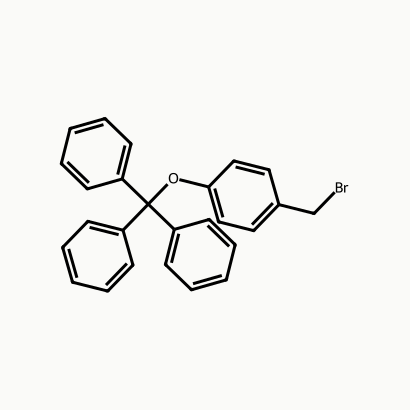 BrCc1ccc(OC(c2ccccc2)(c2ccccc2)c2ccccc2)cc1